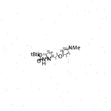 CNc1ccc(OCCc2cccc(NC(=O)OC(C)(C)C)n2)cc1